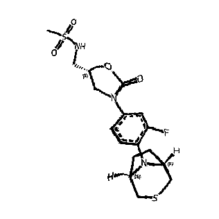 CS(=O)(=O)NC[C@H]1CN(c2ccc(N3[C@@H]4CC[C@H]3CSC4)c(F)c2)C(=O)O1